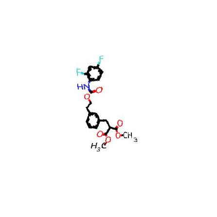 COC(=O)C(Cc1cccc(CCOC(=O)Nc2ccc(F)cc2F)c1)C(=O)OC